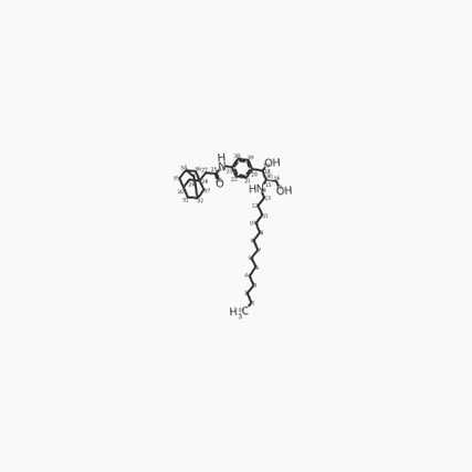 CCCCCCCCCCCCCCN[C@H](CO)C(O)c1ccc(NC(=O)CC23CC4CC(CC(C4)C2)C3)cc1